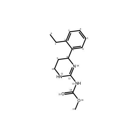 CCc1ccccc1C1CCNC(NC(=O)OC)=N1